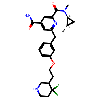 C[C@H]1C[C@@H]1N(C)C(=O)c1cc(C(N)=O)cc(Cc2cccc(OCCC3CNCCC3(F)F)c2)n1